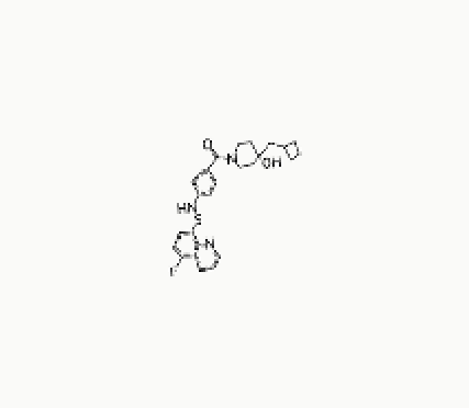 O=C(c1ccc(NSc2ccc(F)c3cccnc23)cc1)N1CCC(O)(CC2CCC2)CC1